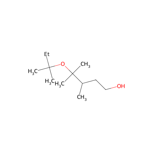 CCC(C)(C)OC(C)(C)C(C)CCO